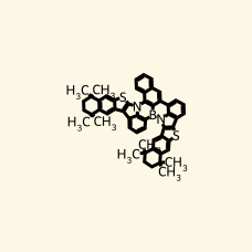 CC1(C)CCC(C)(C)c2cc3c(cc21)sc1c3c2cccc3c2n1-c1c2c(cc4ccccc14)-c1cccc4c5sc6cc7c(cc6c5n(c14)B23)C(C)(C)CCC7(C)C